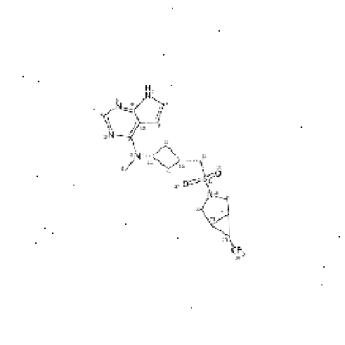 CN(c1ncnc2[nH]ccc12)[C@H]1C[C@@H](CS(=O)(=O)N2CC3C(C2)C3C(F)(F)F)C1